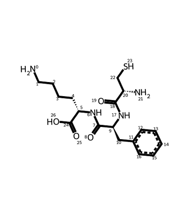 NCCCC[C@H](NC(=O)[C@H](Cc1ccccc1)NC(=O)[C@@H](N)CS)C(=O)O